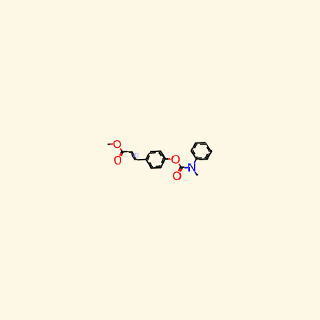 COC(=O)/C=C/c1ccc(OC(=O)N(C)c2ccccc2)cc1